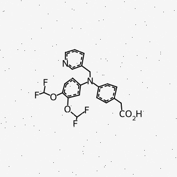 O=C(O)Cc1ccc(N(Cc2cccnc2)c2ccc(OC(F)F)c(OC(F)F)c2)cc1